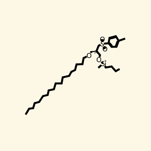 CCCCCCCCCCCCCCCCCCOC[C@H](CO[Si](C)(C)CCCC)CS(=O)(=O)c1ccc(C)cc1